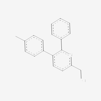 Cc1ccc(-c2ccc(CO)nc2-c2ccccc2)cc1